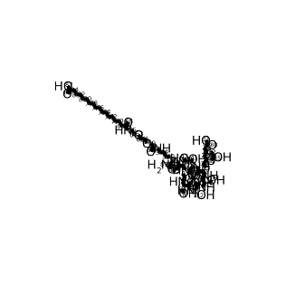 CC(=O)N[C@@H](CO)C(=O)N[C@@H](CO)C(=O)N[C@@H](CO)C(=O)N[C@@H](CCCCN(CC(=O)O)CC(=O)O)C(=O)N[C@@H](CO)C(=O)N[C@@H](CO)C(=O)N[C@@H](CCCCNC(=O)COCCOCCNC(=O)CCCCCCCCCCCCCCCCC(=O)O)C(N)=O